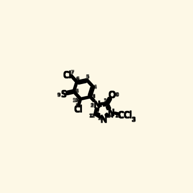 O=c1n(C2=CC=C(Cl)C(=S)C2Cl)cnn1C(Cl)(Cl)Cl